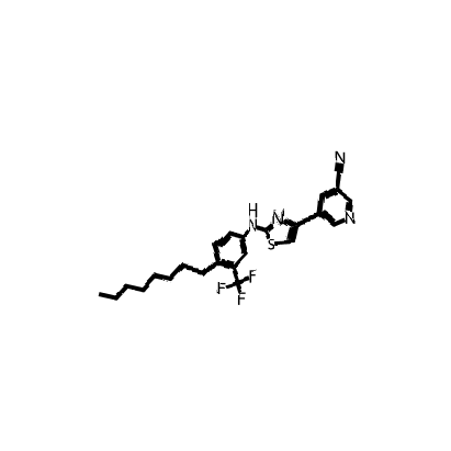 CCCCCCCCc1ccc(Nc2nc(-c3cncc(C#N)c3)cs2)cc1C(F)(F)F